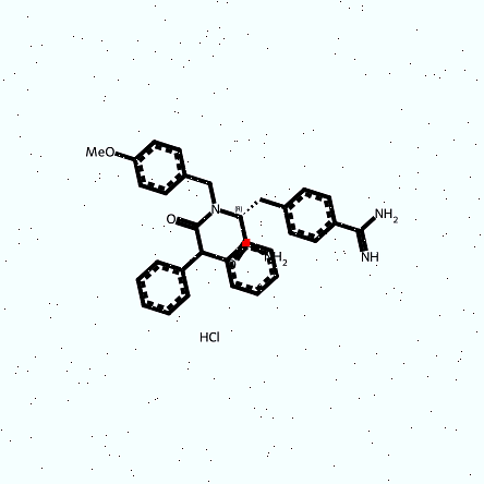 COc1ccc(CN(C(=O)C(c2ccccc2)c2ccccc2)[C@H](Cc2ccc(C(=N)N)cc2)C(N)=O)cc1.Cl